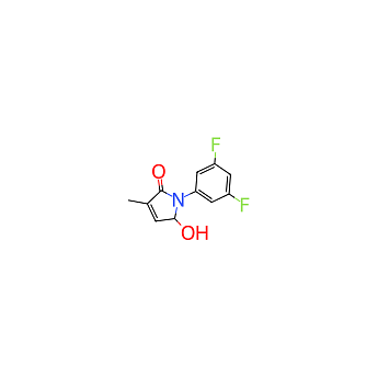 CC1=CC(O)N(c2cc(F)cc(F)c2)C1=O